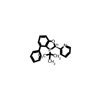 CC(C)(C)P1c2c(cccc2-c2ccccc2)O[C@H]1c1ccccn1